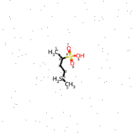 C[SiH2]CCC(C)S(=O)(=O)O